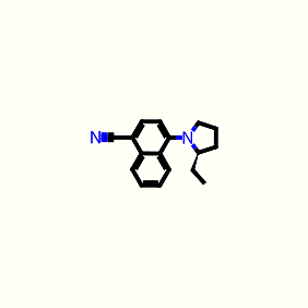 CC[C@@H]1CCCN1c1ccc(C#N)c2ccccc12